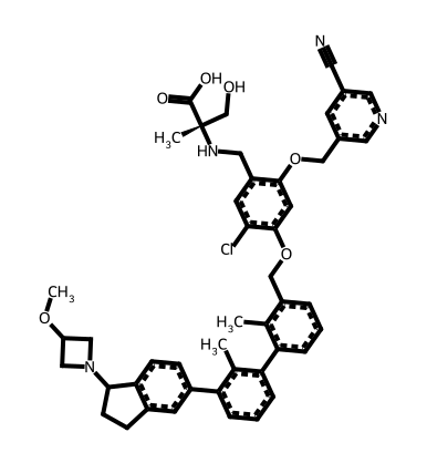 COC1CN(C2CCc3cc(-c4cccc(-c5cccc(COc6cc(OCc7cncc(C#N)c7)c(CN[C@@](C)(CO)C(=O)O)cc6Cl)c5C)c4C)ccc32)C1